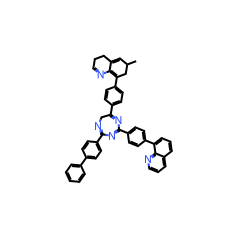 CC1C=C2CCC=NC2=C(c2ccc(C3=NC(c4ccc(-c5cccc6cccnc56)cc4)=NC(c4ccc(-c5ccccc5)cc4)=NC3)cc2)C1